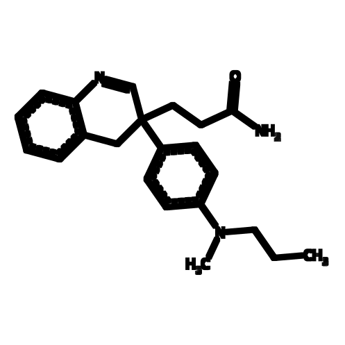 CCCN(C)c1ccc(C2(CCC(N)=O)C=Nc3ccccc3C2)cc1